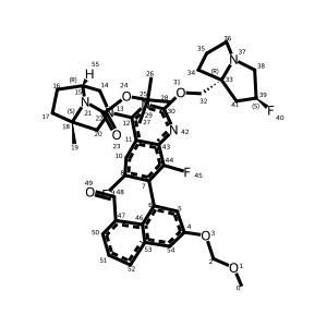 COCOc1cc(-c2c(F)cc3c(N4C[C@H]5CC[C@@](C)(C4)N5C(=O)OC(C)(C)C)nc(OC[C@]45CCCN4C[C@@H](F)C5)nc3c2F)c2c(C=O)cccc2c1